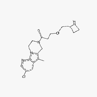 Cc1c2n(c3ncc(Cl)cc13)CCN(C(=O)CCOCC1CCN1)C2